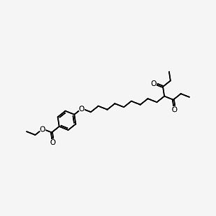 CCOC(=O)c1ccc(OCCCCCCCCCC(C(=O)CC)C(=O)CC)cc1